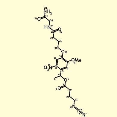 COc1cc(C(C)OC(=O)CCCN=[N+]=[N-])c([N+](=O)[O-])cc1OCCCC(=O)NCC(N)=O